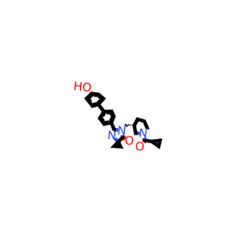 O=C(C1CC1)N1CCC[C@@H](CN2C(=O)C3(CC3)N=C2c2ccc(-c3ccc(O)cc3)cc2)C1